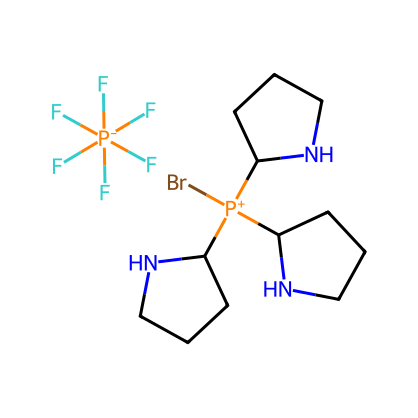 Br[P+](C1CCCN1)(C1CCCN1)C1CCCN1.F[P-](F)(F)(F)(F)F